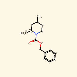 CC1CCN(C(=O)OCc2ccccc2)[C@@H](C(=O)O)C1